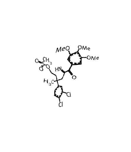 COc1cc(C(=O)C(=N)CC(C)(CCOS(C)(=O)=O)c2ccc(Cl)c(Cl)c2)cc(OC)c1OC